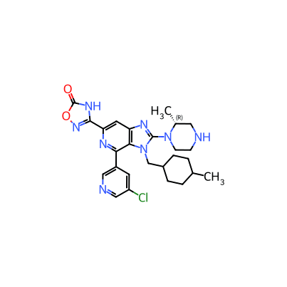 CC1CCC(Cn2c(N3CCNC[C@H]3C)nc3cc(-c4noc(=O)[nH]4)nc(-c4cncc(Cl)c4)c32)CC1